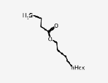 CCCCCCCCCCOC(=O)CC[SiH3]